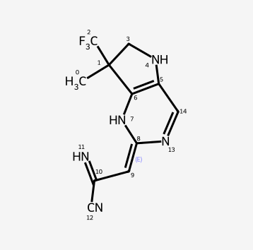 CC1(C(F)(F)F)CNC2=C1N/C(=C\C(=N)C#N)N=C2